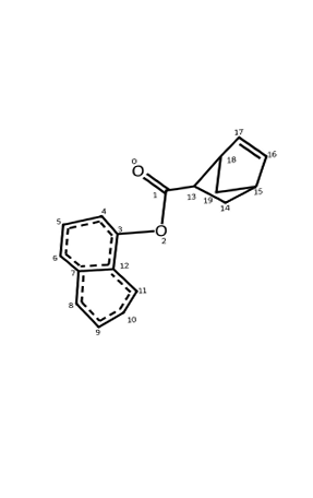 O=C(Oc1cccc2ccccc12)C1CC2C=CC1C2